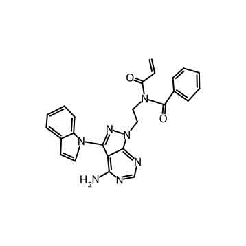 C=CC(=O)N(CCn1nc(-n2ccc3ccccc32)c2c(N)ncnc21)C(=O)c1ccccc1